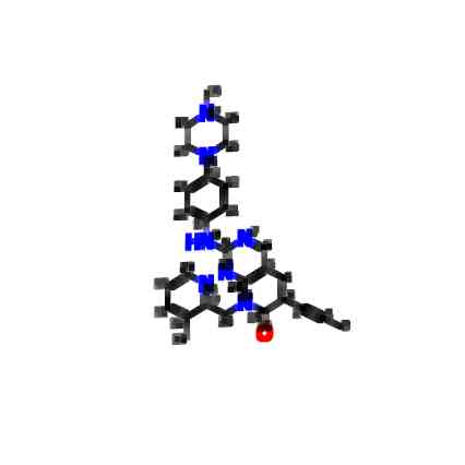 CC#Cc1cc2cnc(Nc3ccc(N4CCN(C)CC4)cc3)nc2n(Cc2ncccc2C)c1=O